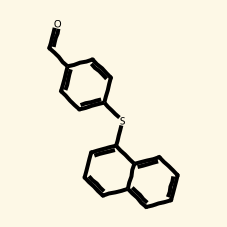 O=Cc1ccc(Sc2cccc3ccccc23)cc1